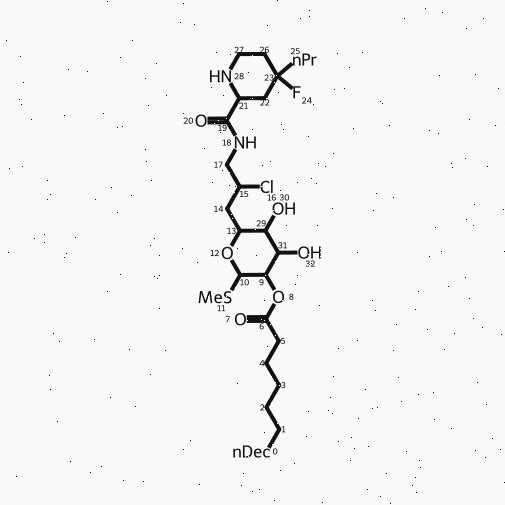 CCCCCCCCCCCCCCCC(=O)OC1C(SC)OC(CC(Cl)CNC(=O)C2CC(F)(CCC)CCN2)C(O)C1O